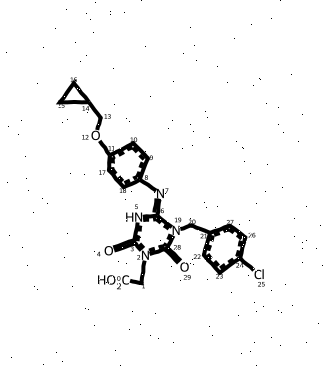 O=C(O)Cn1c(=O)[nH]/c(=N\c2ccc(OCC3CC3)cc2)n(Cc2ccc(Cl)cc2)c1=O